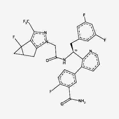 NC(=O)c1cc(-c2cccnc2[C@H](Cc2cc(F)cc(F)c2)NC(=O)Cn2nc(C(F)(F)F)c3c2CC2CC32F)ccc1F